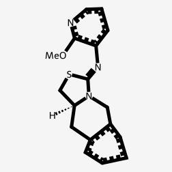 COc1ncccc1N=C1SC[C@@H]2Cc3ccccc3CN12